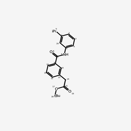 CC(C)c1cccc(NC(=O)c2cccc(CC(=O)OC(C)(C)C)c2)c1